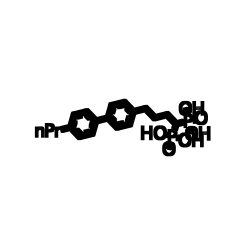 CCCc1ccc(-c2ccc(CCCC(P(=O)(O)O)P(=O)(O)O)cc2)cc1